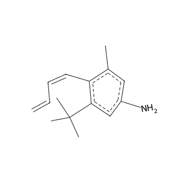 C=C/C=C\c1c(C)cc(N)cc1C(C)(C)C